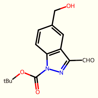 CC(C)(C)OC(=O)n1nc(C=O)c2cc(CO)ccc21